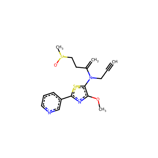 C#CCN(C(=C)CC[S+](C)[O-])c1sc(-c2cccnc2)nc1OC